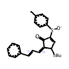 CCCCC1C=C([S+]([O-])c2ccc(C)cc2)C(=O)/C1=C\C=C\c1ccccc1